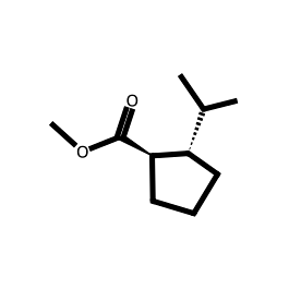 COC(=O)[C@@H]1CCC[C@H]1C(C)C